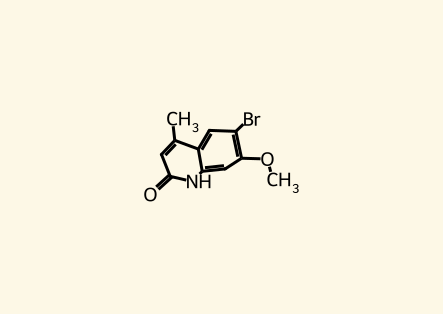 COc1cc2[nH]c(=O)cc(C)c2cc1Br